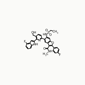 CCS(=O)(=O)Nc1cc2oc(-c3ccc(F)cc3)c(C(=O)NC)c2cc1-c1ccc(CO)c(-c2cc3c(F)cccc3[nH]2)n1